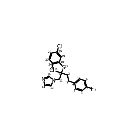 CC(CCc1ccc(F)cc1)(Cn1ccnc1)Sc1cc(Cl)ccc1Cl